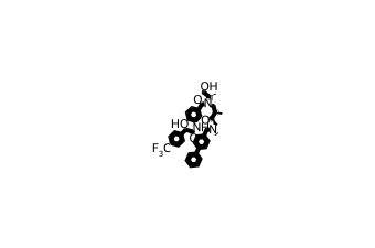 C[C@@H]1CN([C@@H](C)CO)C(=O)c2cccc(NC(=O)C(O)c3ccc(C(F)(F)F)cc3)c2O[C@@H]1CN(C)Cc1ccc(-c2ccccc2)cc1